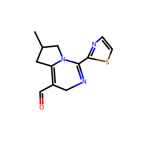 CC1CC2=C(C=O)CN=C(c3nccs3)N2C1